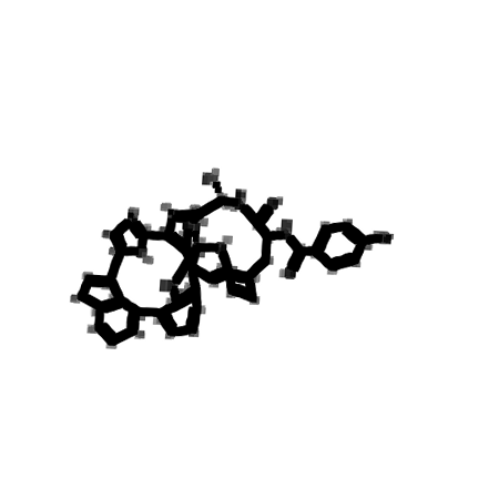 CC(C)[C@@H]1NC(=O)C(NC(=O)c2ccc(Br)cc2)Cc2ccc3c(c2)C24c5cccc(c5N[C@H]2O3)-c2cccc3c2C(=CC3)c2cnc(o2)-c2nc1oc24